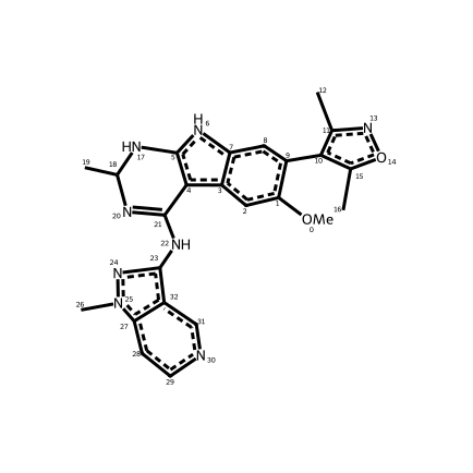 COc1cc2c3c([nH]c2cc1-c1c(C)noc1C)NC(C)N=C3Nc1nn(C)c2ccncc12